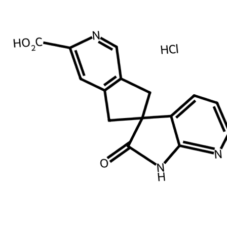 Cl.O=C(O)c1cc2c(cn1)CC1(C2)C(=O)Nc2ncccc21